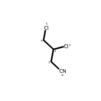 N#CCC(Cl)CCl